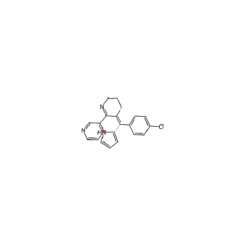 Clc1ccc(C(=C2CCCN=C2c2cccnc2)c2ccc[nH]2)cc1